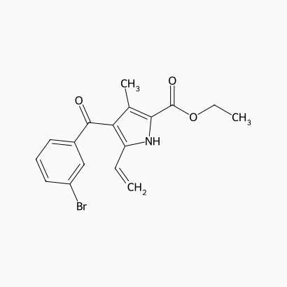 C=Cc1[nH]c(C(=O)OCC)c(C)c1C(=O)c1cccc(Br)c1